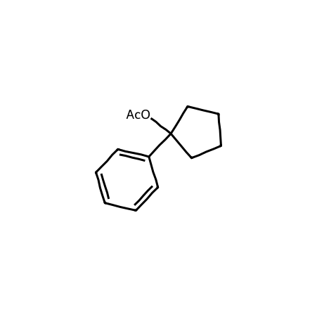 CC(=O)OC1(c2ccccc2)CCCC1